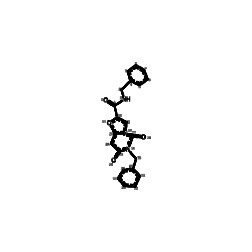 O=C(NCc1ccccc1)c1cn2c(=O)n(Cc3ccccc3)c(=O)cc2o1